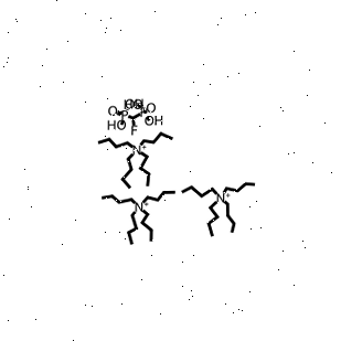 CCCC[N+](CCCC)(CCCC)CCCC.CCCC[N+](CCCC)(CCCC)CCCC.CCCC[N+](CCCC)(CCCC)CCCC.O=P(O)(O)C(F)P(=O)(O)O